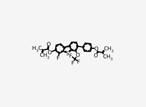 C=C(C)C(=O)Oc1ccc(-c2ccc3c(sc4c(F)c(OC(=O)C(=C)C)ccc43)c2OC(F)(F)F)cc1